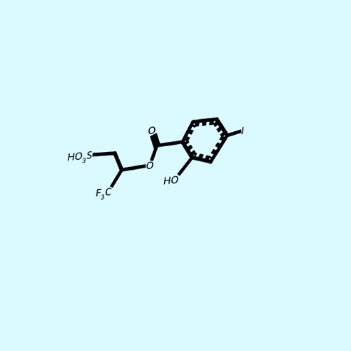 O=C(OC(CS(=O)(=O)O)C(F)(F)F)c1ccc(I)cc1O